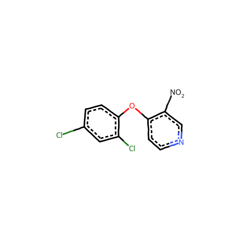 O=[N+]([O-])c1cnccc1Oc1ccc(Cl)cc1Cl